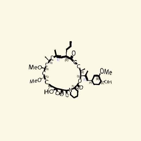 C=CC[C@@H]1/C=C(\C)C[C@H](C)C[C@H](OC)C[C@@H](OC)C[C@@H](C)C(O)(O)C(=O)C(=O)N2CCCC[C@H]2C(=O)O[C@H](/C(C)=C/[C@@H]2CC[C@@H](O)[C@H](OC)C2)[C@H](C)CCC1=O